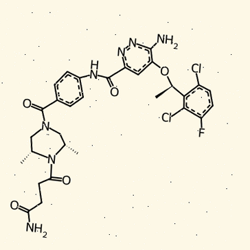 C[C@@H]1CN(C(=O)c2ccc(NC(=O)c3cc(O[C@H](C)c4c(Cl)ccc(F)c4Cl)c(N)nn3)cc2)C[C@H](C)N1C(=O)CCC(N)=O